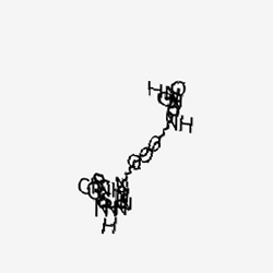 Cc1nc(Nc2ncc(C(=O)Nc3c(C)cccc3Cl)s2)cc(N2CCN(CCCCCCOCCOCCOCCCCCCNc3ccc(N4CCC(=O)NC4=O)cc3)CC2)n1